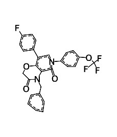 O=C1COc2c(-c3ccc(F)cc3)cn(-c3ccc(OC(F)(F)F)cc3)c(=O)c2N1Cc1ccccc1